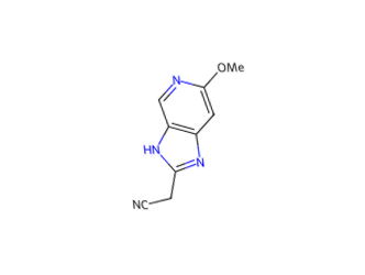 COc1cc2nc(CC#N)[nH]c2cn1